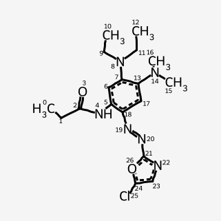 CCC(=O)Nc1cc(N(CC)CC)c(N(C)C)cc1N=Nc1ncc(Cl)o1